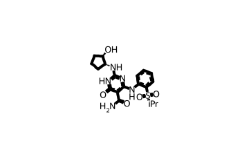 CC(C)S(=O)(=O)c1ccccc1Nc1nc(N[C@@H]2CCC[C@H]2O)[nH]c(=O)c1C(N)=O